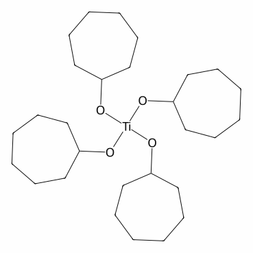 C1CCCC([O][Ti]([O]C2CCCCCC2)([O]C2CCCCCC2)[O]C2CCCCCC2)CC1